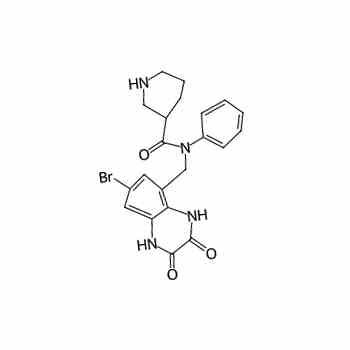 O=C(C1CCCNC1)N(Cc1cc(Br)cc2[nH]c(=O)c(=O)[nH]c12)c1ccccc1